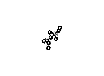 c1ccc(-c2nc(-c3ccc4ccccc4c3)nc(-c3ccccc3)c2-c2ccc(-c3nc4ccccc4c4c3ccc3c5ccccc5sc34)cc2)cc1